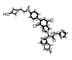 CN(CCN1CC(O)C1)c1ccc(-c2cc(Cl)c3cn(C(C(=O)Nc4nccs4)c4ncn5c4C[C@@H](F)C5)nc3c2Cl)cc1